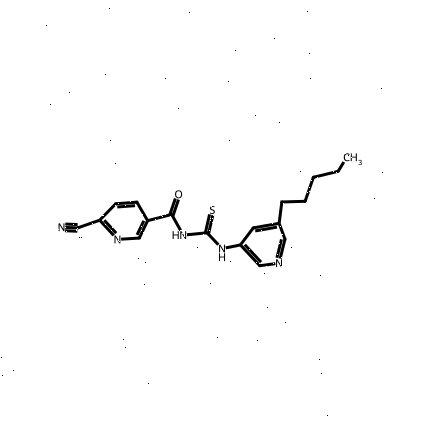 CCCCCc1cncc(NC(=S)NC(=O)c2ccc(C#N)nc2)c1